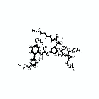 C=CCCCCN(C)C(=O)[C@@H]1C[C@H](OC(=O)Nc2cc(C)ccc2-c2ncc(CC)s2)C[C@H]1C(=O)N[C@]1(CC)C[C@H]1C=C